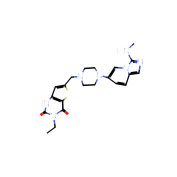 CCn1c(=O)[nH]c2cc(CN3CCN(c4ccc5cnc(NC)n5c4)CC3)sc2c1=O